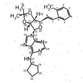 Cc1ccccc1C=C[C@H]1O[C@@H](n2cnc3c(NC4CCCC4)ncnc32)[C@@H]2OC(C)(C)O[C@@H]21